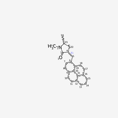 CN1C(=O)/C(=C\c2ccc3ccc4cccc5ccc2c3c45)SC1=S